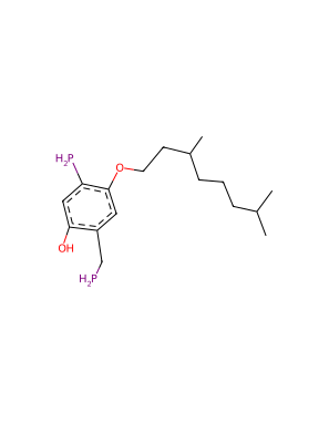 CC(C)CCCC(C)CCOc1cc(CP)c(O)cc1P